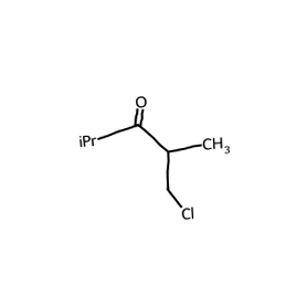 CC(C)C(=O)C(C)CCl